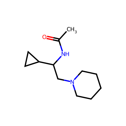 CC(=O)NC(CN1CCCCC1)C1CC1